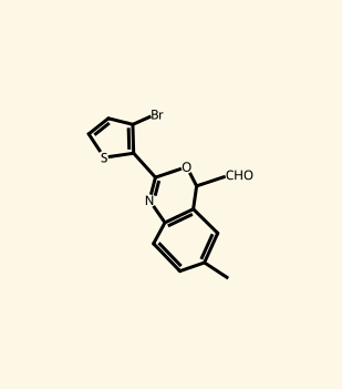 Cc1ccc2c(c1)C(C=O)OC(c1sccc1Br)=N2